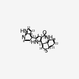 NC(=O)c1cc(-c2ccnc3[nH]ccc23)[nH]c1-c1csc2ccccc12